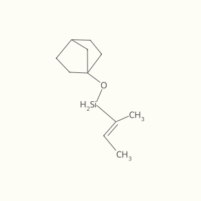 C/C=C(\C)[SiH2]OC12CCC(CC1)C2